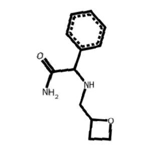 NC(=O)C(NCC1CCO1)c1ccccc1